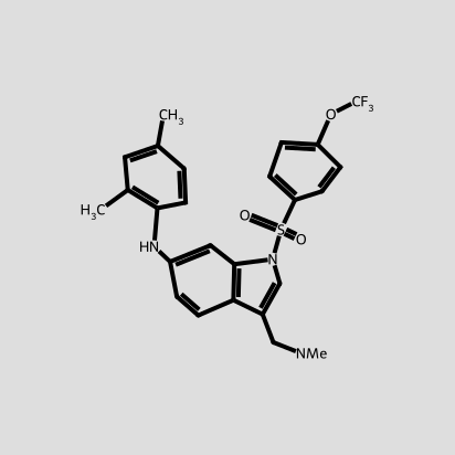 CNCc1cn(S(=O)(=O)c2ccc(OC(F)(F)F)cc2)c2cc(Nc3ccc(C)cc3C)ccc12